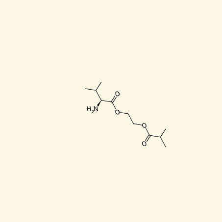 CC(C)C(=O)OCCOC(=O)[C@@H](N)C(C)C